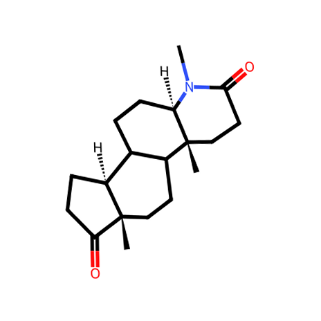 CN1C(=O)CC[C@]2(C)C3CC[C@]4(C)C(=O)CC[C@H]4C3CC[C@@H]12